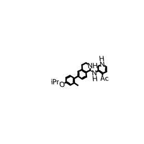 CC(=O)C1=C(N[C@@H]2NCCc3cc(-c4ccc(OC(C)C)cc4C)ccc32)CNC=C1